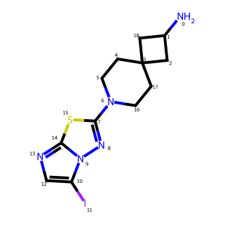 NC1CC2(CCN(c3nn4c(I)cnc4s3)CC2)C1